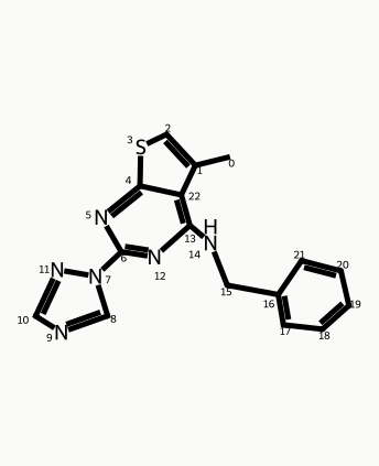 Cc1csc2nc(-n3cncn3)nc(NCc3ccccc3)c12